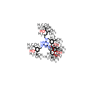 C=C(/C=C(\C(O)=C(/C)C(C)(C)C)C(C)(C)C)CN(Cc1cc(C(C)(C)C)c(O)c(C(C)(C)C)c1)c1nc(NCc2cc(C(C)(C)C)c(O)c(C(C)(C)C)c2)nc(N(CC2=CC(C(C)(C)C)=C(O)C(C(C)(C)C)C2C)Cc2cc(C(C)(C)C)c(O)c(C(C)(C)C)c2)n1